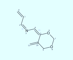 C=C/C=N\C=C1\OCOCC1=C